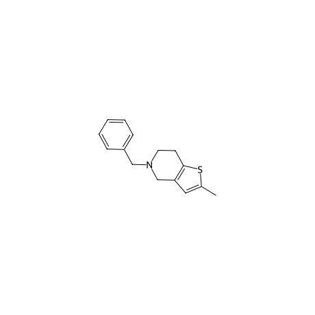 Cc1cc2c(s1)CCN(Cc1ccccc1)C2